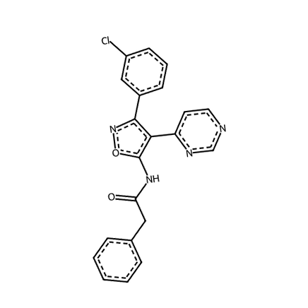 O=C(Cc1ccccc1)Nc1onc(-c2cccc(Cl)c2)c1-c1ccncn1